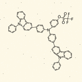 O=S(=O)(Oc1ccc(N(c2ccc(-c3ccc4c(c3)c3ccccc3n4-c3ccccc3)cc2)c2ccc(-c3ccc4c(c3)c3ccccc3n4-c3ccccc3)cc2)cc1)C(F)(F)F